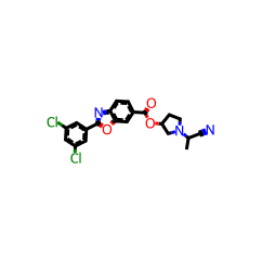 CC(C#N)N1CCC(OC(=O)c2ccc3nc(-c4cc(Cl)cc(Cl)c4)oc3c2)C1